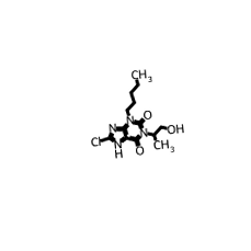 CCCCCn1c(=O)n(C(C)CO)c(=O)c2[nH]c(Cl)nc21